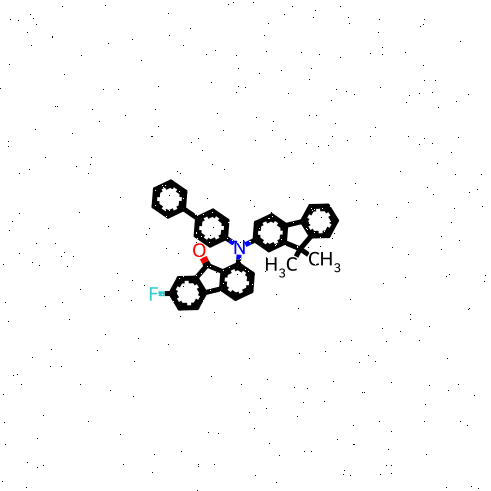 CC1(C)c2ccccc2-c2ccc(N(c3ccc(-c4ccccc4)cc3)c3cccc4c3C(=O)c3cc(F)ccc3-4)cc21